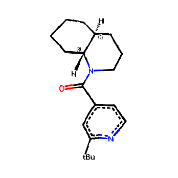 CC(C)(C)c1cc(C(=O)N2CCC[C@@H]3CCCC[C@H]32)ccn1